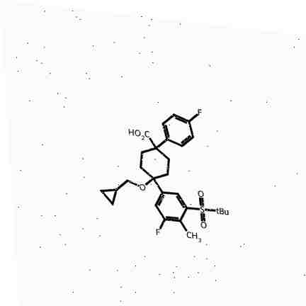 Cc1c(F)cc(C2(OCC3CC3)CCC(C(=O)O)(c3ccc(F)cc3)CC2)cc1S(=O)(=O)C(C)(C)C